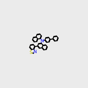 c1ccc(-c2ccc(N(c3cccc4ccccc34)c3cc(-c4cccc5scnc45)cc4ccccc34)cc2)cc1